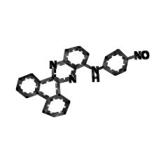 O=Nc1ccc(Nc2cccc3nc4c5ccccc5c5ccccc5c4nc23)cc1